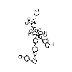 O=C(NS(=O)(=O)c1ccc(NCC2CCOCC2)c([N+](=O)[O-])c1)c1ccc(N2CCC3(CC2)CC(N2CCC[C@H]2c2ccc(Cl)cc2)C3)cc1N1c2cc3cc[nH]c3nc2O[C@@H]2COC[C@H]21